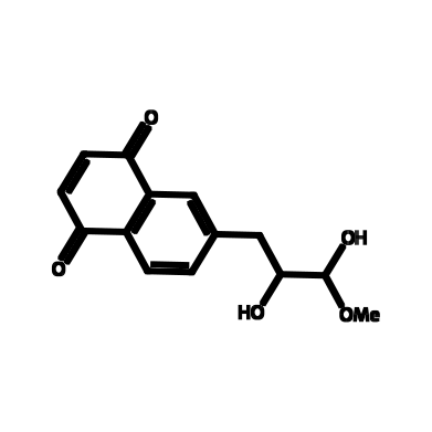 COC(O)C(O)Cc1ccc2c(c1)C(=O)C=CC2=O